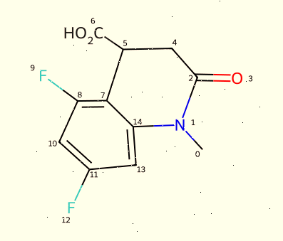 CN1C(=O)CC(C(=O)O)c2c(F)cc(F)cc21